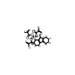 C=C(C)C(=O)[O][Ti]([O]C(=O)C(=C)C)([O]C(=O)C(=C)C)[CH]1CCCC2=C1C(C)C1=C2CCCC1